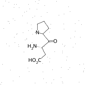 N[C@@H](CC(=O)O)C(=O)C1CCC[N]1